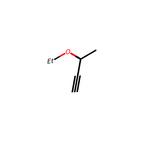 C#CC(C)OCC